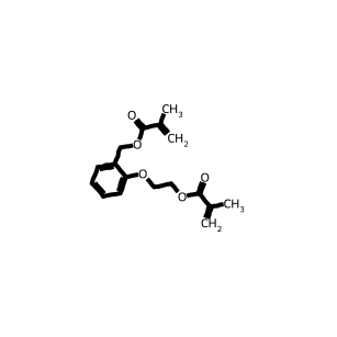 C=C(C)C(=O)OCCOc1ccccc1COC(=O)C(=C)C